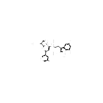 Cc1[nH]c2c(F)cc(F)cc2c1CCNC1=CC(c2cncc(F)c2)=NC2C(C)C=NN12